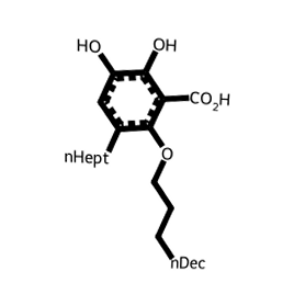 CCCCCCCCCCCCCOc1c(CCCCCCC)cc(O)c(O)c1C(=O)O